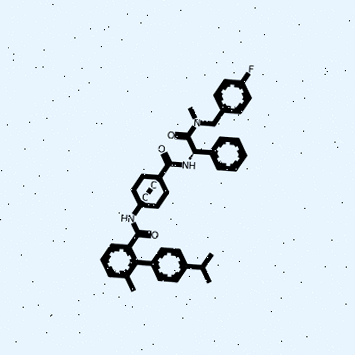 Cc1cccc(C(=O)NC23CCC(C(=O)N[C@H](C(=O)N(C)Cc4ccc(F)cc4)c4ccccc4)(CC2)CC3)c1-c1ccc(C(C)C)cc1